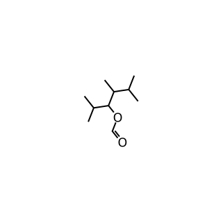 CC(C)C(C)C(OC=O)C(C)C